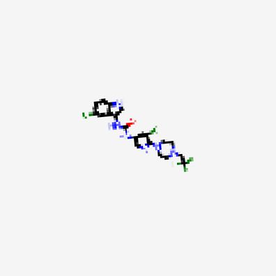 O=C(Nc1cnc(N2CCN(CC(F)(F)F)CC2)c(Cl)c1)Nc1c[nH]c2ccc(Cl)cc12